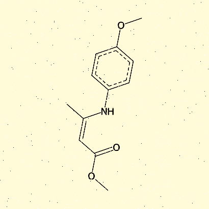 COC(=O)/C=C(/C)Nc1ccc(OC)cc1